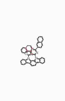 C1=Cc2nc(-n3c4ccccc4c4ccc5c6ccccc6n(-c6nc(-c7ccccc7)nc(-c7ccc8ccccc8c7)n6)c5c43)oc2CC1